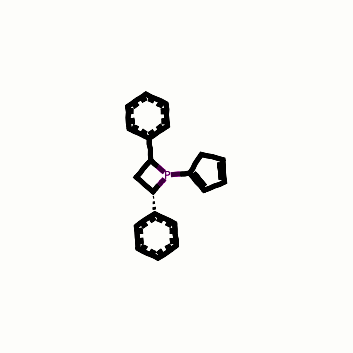 C1=CCC(P2C(c3ccccc3)C[C@H]2c2ccccc2)=C1